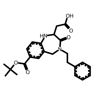 CC(C)(C)OC(=O)c1ccc2c(c1)CN(CCc1ccccc1)C(=O)C(CC(=O)O)N2